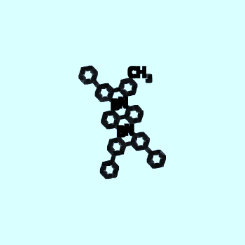 Cc1ccc2c(c1)-c1cc(-c3ccccc3)ccc1B1c3cccc4c3-c3c(cccc3N3B4c4ccc(-c5ccccc5)cc4-c4cc(-c5ccccc5)ccc43)N12